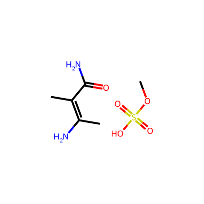 CC(N)=C(C)C(N)=O.COS(=O)(=O)O